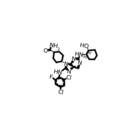 NC(=O)[C@H]1CC[C@H](n2c(Nc3c(F)cc(Cl)cc3Cl)nc3cnc(N[C@@H]4CCCC[C@H]4O)nc32)CC1